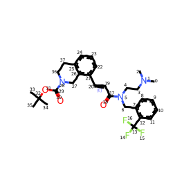 CN(C)CCN(Cc1ccccc1C(F)(F)F)C(=O)/C=C/c1cccc2c1CN(C(=O)OC(C)(C)C)CC2